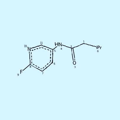 CC(C)CC(=O)Nc1ccc(F)nc1